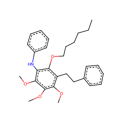 CCCCCCOc1c(CCc2ccccc2)c(OC)c(OC)c(OC)c1Nc1ccccc1